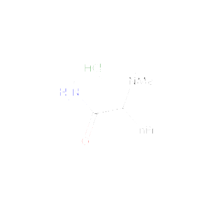 CCCC(NC)C(N)=O.Cl